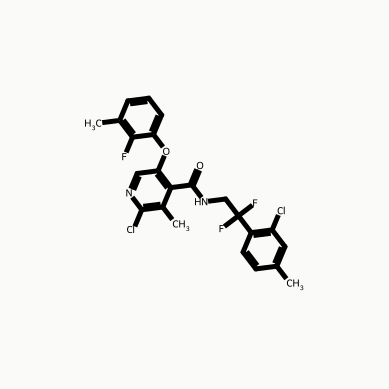 Cc1ccc(C(F)(F)CNC(=O)c2c(Oc3cccc(C)c3F)cnc(Cl)c2C)c(Cl)c1